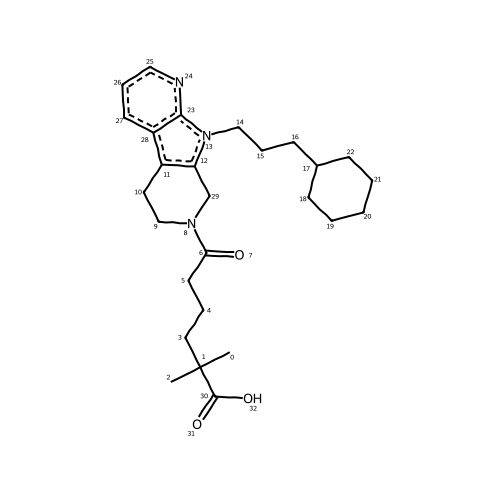 CC(C)(CCCC(=O)N1CCc2c(n(CCCC3CCCCC3)c3ncccc23)C1)C(=O)O